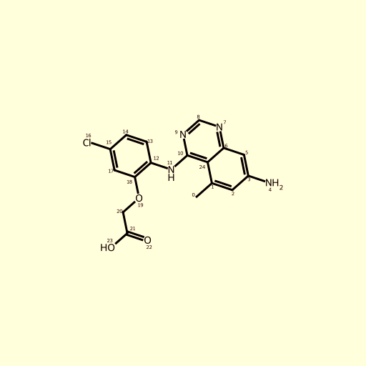 Cc1cc(N)cc2ncnc(Nc3ccc(Cl)cc3OCC(=O)O)c12